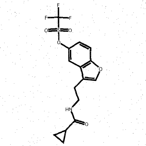 O=C(NCCc1coc2ccc(OS(=O)(=O)C(F)(F)F)cc12)C1CC1